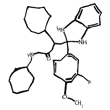 COc1ccc(C2(C(C(=O)NC3CCCCC3)C3CCCCC3)Nc3ccccc3N2)cc1F